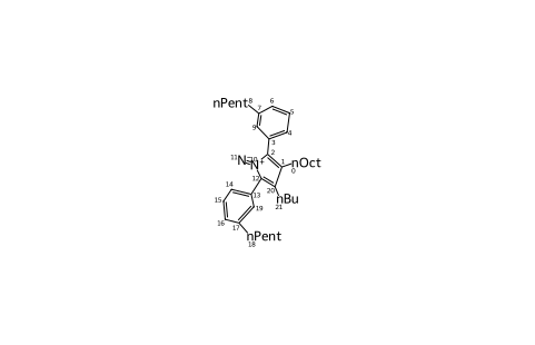 CCCCCCCCC1=C(c2cccc(CCCCC)c2)[N+](=[N-])C(c2cccc(CCCCC)c2)=C1CCCC